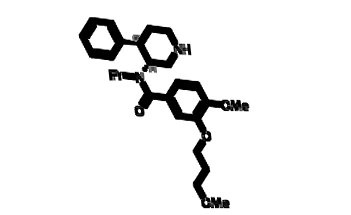 COCCCOc1cc(C(=O)N(C(C)C)[C@H]2CNCC[C@@H]2c2ccccc2)ccc1OC